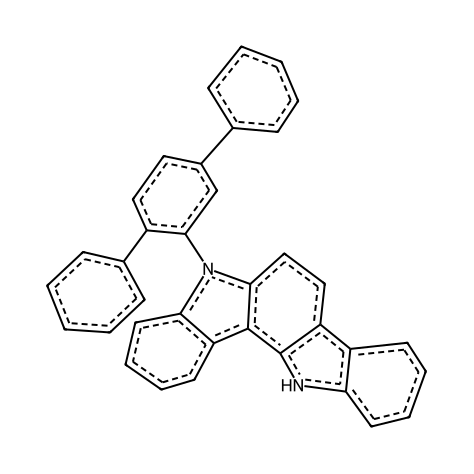 c1ccc(-c2ccc(-c3ccccc3)c(-n3c4ccccc4c4c5[nH]c6ccccc6c5ccc43)c2)cc1